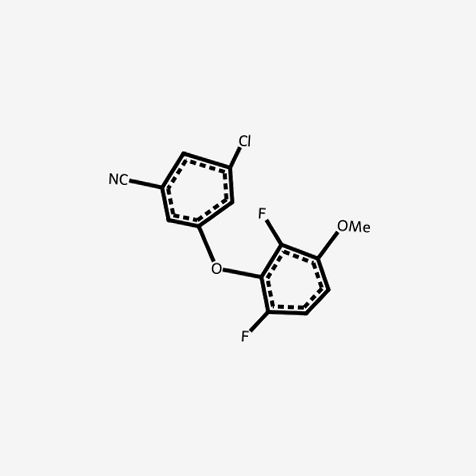 COc1ccc(F)c(Oc2cc(Cl)cc(C#N)c2)c1F